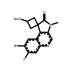 COC1CC2(C1)C(=O)N(C)c1cnc3cc(F)c(Br)cc3c12